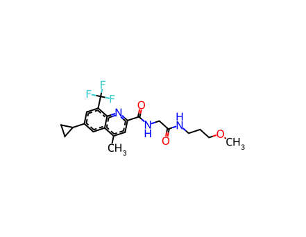 COCCCNC(=O)CNC(=O)c1cc(C)c2cc(C3CC3)cc(C(F)(F)F)c2n1